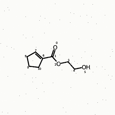 O=C(OCCO)C1=CCCC1